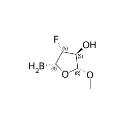 B[C@H]1O[C@@H](OC)[C@H](O)[C@H]1F